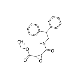 CCOC(=O)C1OC1C(=O)NCC(c1ccccc1)c1ccccc1